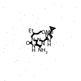 CCC(CCOC)Cn1c(=O)[nH]c2c(N)nc(-c3nc(C4CC4)c[nH]3)nc21